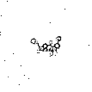 CN(C(=O)OC(C)(C)C)c1ccc(-c2cccs2)cc1NC(=O)c1ccc2c(c1)CC(=O)N2CCN1CCCCC1